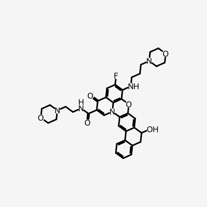 O=C(NCCN1CCOCC1)c1cn2c3c(c(NCCCN4CCOCC4)c(F)cc3c1=O)Oc1cc3c(cc1-2)-c1ccccc1CC3O